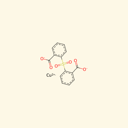 O=C([O-])c1ccccc1S(=O)(=O)c1ccccc1C(=O)[O-].[Cu+2]